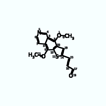 COc1c2cnccc2c(OC)c2sc(/C=C/[C]=O)cc12